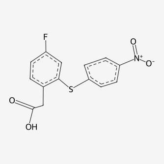 O=C(O)Cc1ccc(F)cc1Sc1ccc([N+](=O)[O-])cc1